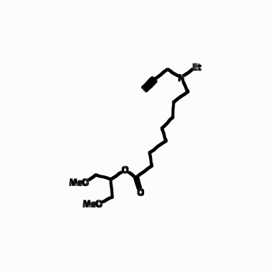 C#CCN(CC)CCCCCCCC(=O)OC(COC)COC